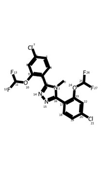 Cn1c(-c2ccc(Cl)cc2OC(F)F)nnc1-c1ccc(Cl)cc1OC(F)F